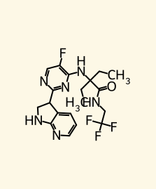 CCC(CC)(Nc1nc(C2CNc3ncccc32)ncc1F)C(=O)NCC(F)(F)F